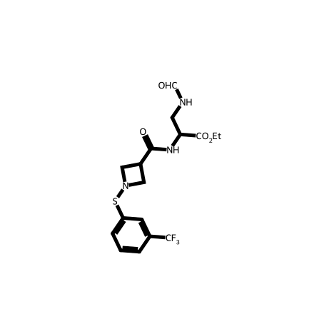 CCOC(=O)C(CNC=O)NC(=O)C1CN(Sc2cccc(C(F)(F)F)c2)C1